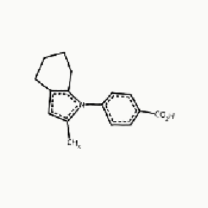 Cc1cc2c(n1-c1ccc(C(=O)O)cc1)CCCC2